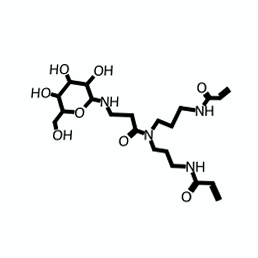 C=CC(=O)NCCCN(CCCNC(=O)C=C)C(=O)CCNC1OC(CO)C(O)C(O)C1O